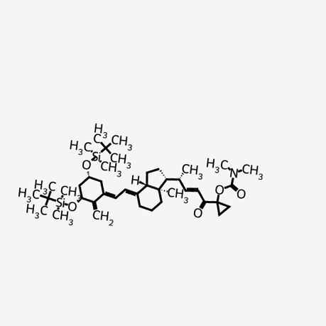 C=C1/C(=C/C=C2\CCC[C@]3(C)[C@@H]([C@H](C)/C=C/C(=O)C4(OC(=O)N(C)C)CC4)CC[C@@H]23)C[C@@H](O[Si](C)(C)C(C)(C)C)C[C@@H]1O[Si](C)(C)C(C)(C)C